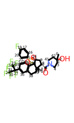 CC1(O)CCN(C(=O)[C@H]2CC[C@@]3(S(=O)(=O)c4ccc(F)cc4)c4ccc(C(F)(C(F)(F)F)C(F)(F)F)cc4CC[C@@H]23)CC1